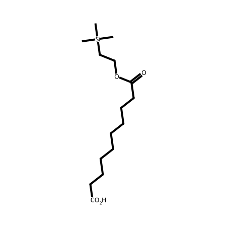 C[Si](C)(C)CCOC(=O)CCCCCCCCC(=O)O